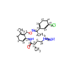 CC(=NOCC1=C(C)CCC=C1NC(=O)[C@@H](C)CCN=N)C1=CCCC(Cl)=C1